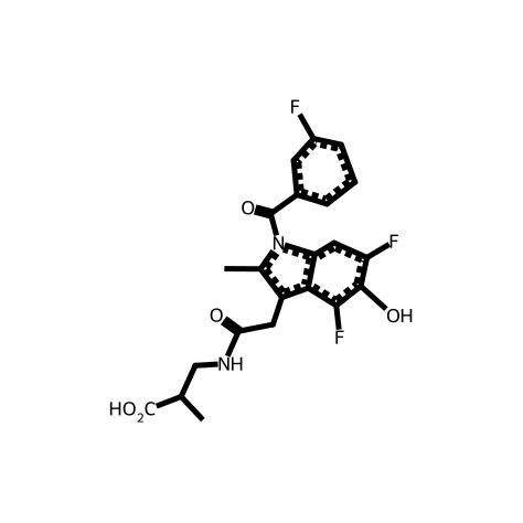 Cc1c(CC(=O)NCC(C)C(=O)O)c2c(F)c(O)c(F)cc2n1C(=O)c1cccc(F)c1